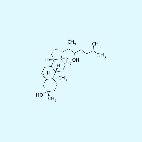 CC(C)CCC(O)[C@@H](C)[C@H]1CC[C@H]2[C@@H]3CC=C4C[C@@](C)(O)CC[C@]4(C)[C@H]3CC[C@]12C